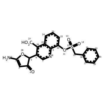 NC1=CC(=O)C(c2cnc3c(OS(=O)(=O)Cc4ccccc4)cccc3c2C(=O)O)O1